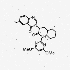 COc1cc(OC)nc(NC(=O)C(CC2CCCCC2)n2cnc3ccc(F)cc3c2=O)n1